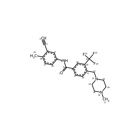 C#Cc1cc(NC(=O)c2ccc(CN3CCN(C)CC3)c(C(F)(F)F)c2)ccc1C